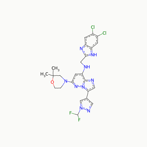 CC1(C)CN(c2cc(NCc3nc4cc(Cl)c(Cl)cc4[nH]3)c3ncc(-c4cnn(C(F)F)c4)n3n2)CCO1